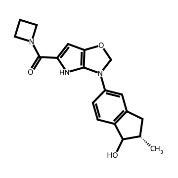 C[C@H]1Cc2cc(N3COc4cc(C(=O)N5CCC5)[nH]c43)ccc2C1O